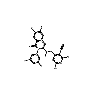 CC(Nc1nc(N)nc(N)c1C#N)c1nc2cc(F)c(F)cc2c(=O)n1-c1cc(F)cc(F)c1